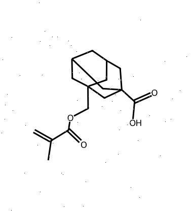 C=C(C)C(=O)OCC12CC3CC(C1)CC(C(=O)O)(C3)C2